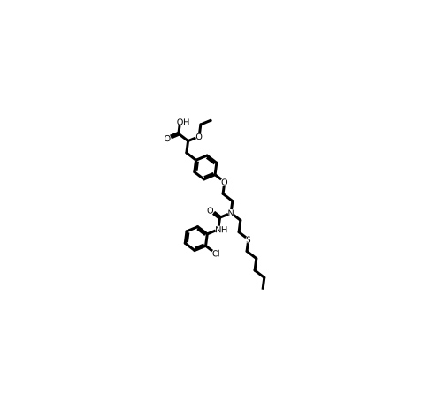 CCCCCSCCN(CCOc1ccc(CC(OCC)C(=O)O)cc1)C(=O)Nc1ccccc1Cl